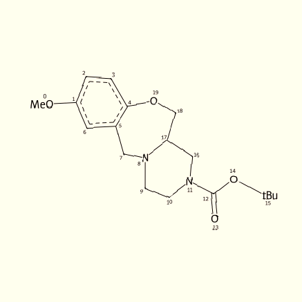 COc1ccc2c(c1)CN1CCN(C(=O)OC(C)(C)C)CC1CO2